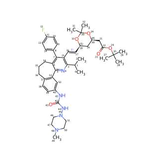 CC(C)c1nc2c(c(-c3ccc(F)cc3)c1/C=C/[C@@H]1C[C@H](CC(=O)OC(C)(C)C)OC(C)(C)O1)CCCc1ccc(NC(=O)NN3CCN(C)CC3)cc1-2